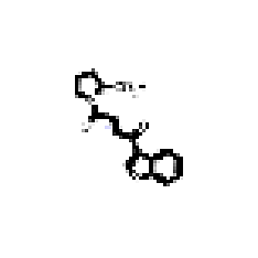 O=C(/C=C/C(=O)N1CCC[C@H]1C(=O)O)c1csc2ccccc12